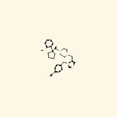 COc1ccccc1C1(C(=O)N2CCN(Cc3cncn3Cc3ccc(C#N)cc3)CC2)CCCC1